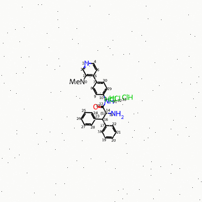 CNc1cnccc1-c1ccc(NC(=O)[C@@H](N)C(c2ccccc2)c2ccccc2)cc1.Cl.Cl.Cl